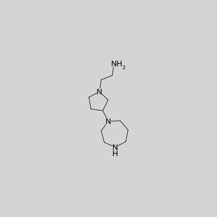 NCCN1CCC(N2CCCNCC2)C1